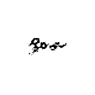 CC(C)Cn1cnc2c(Oc3ccc(-c4sc(N)nc4-c4ccccc4Cl)cc3)ncnc21